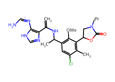 C=C(NC(C)c1cc(Cl)c(C)c(C2CN(C(C)C)C(=O)O2)c1OC)c1nc[nH]c1/N=C\N